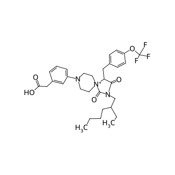 CCCCC(CC)CN1C(=O)C(Cc2ccc(OC(F)(F)F)cc2)[N+]2(CCN(c3cccc(CC(=O)O)c3)CC2)C1=O